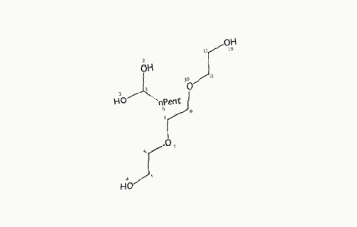 CCCCCC(O)O.OCCOCCOCCO